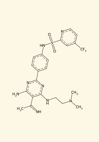 CC(=N)c1c(N)nc(-c2ccc(NS(=O)(=O)c3cc(C(F)(F)F)ccn3)cc2)nc1NCCN(C)C